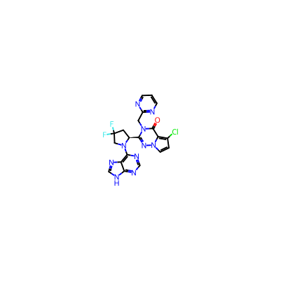 O=c1c2c(Cl)ccn2nc([C@@H]2CC(F)(F)CN2c2ncnc3[nH]cnc23)n1Cc1ncccn1